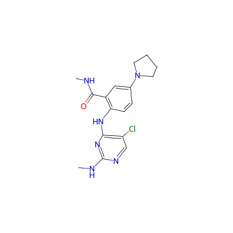 CNC(=O)c1cc(N2CCCC2)ccc1Nc1nc(NC)ncc1Cl